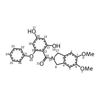 COc1cc2c(cc1OC)CN(C(=O)c1c(O)cc(O)cc1Oc1ccccc1)C2